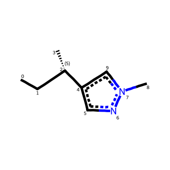 CC[C@H](C)c1cnn(C)c1